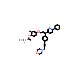 Cc1cc(OC/C=C(\c2ccc(C#CCN3CCOCC3)cc2)c2ccc(-c3ccccc3)nc2)ccc1OC(C)C(=O)O